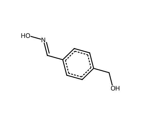 OCc1ccc(/C=N/O)cc1